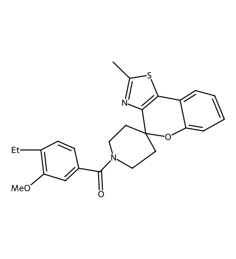 CCc1ccc(C(=O)N2CCC3(CC2)Oc2ccccc2-c2sc(C)nc23)cc1OC